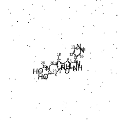 Cc1[nH]c(C=C2C(=O)NN=C2c2ccnnc2)c(C)c1CN(C(C)O)C(C)O